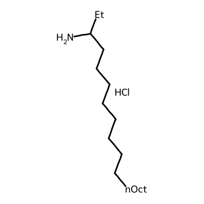 CCCCCCCCCCCCCCCCC(N)CC.Cl